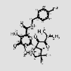 CN(C)C(=O)C(=O)[C@@]1(c2nc(C(=O)NCc3ccc(F)cc3)c(O)c(=O)n2C)CC(F)(F)CN1